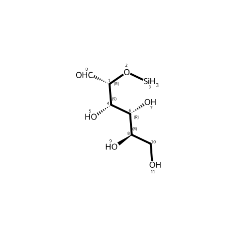 O=C[C@H](O[SiH3])[C@@H](O)[C@H](O)[C@H](O)CO